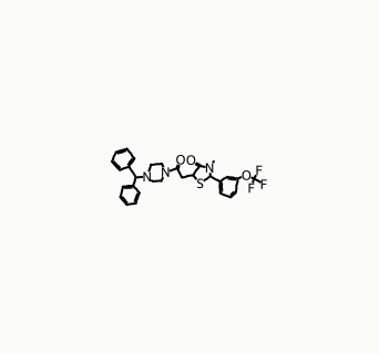 CN1C(=O)C(CC(=O)N2CCN(C(c3ccccc3)c3ccccc3)CC2)SC1c1cccc(OC(F)(F)F)c1